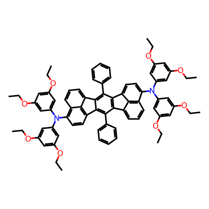 CCOc1cc(OCC)cc(N(c2cc(OCC)cc(OCC)c2)c2ccc3c4c(-c5ccccc5)c5c6cccc7c(N(c8cc(OCC)cc(OCC)c8)c8cc(OCC)cc(OCC)c8)ccc(c5c(-c5ccccc5)c4c4cccc2c43)c76)c1